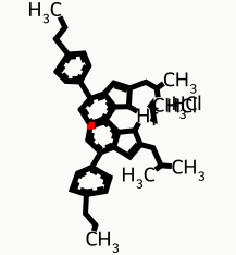 CCCc1ccc(-c2cccc3c2C=C(CC(C)C)[CH]3[Hf]2([CH]3C(CC(C)C)=Cc4c(-c5ccc(CCC)cc5)cccc43)[CH2][CH2]2)cc1.Cl.Cl